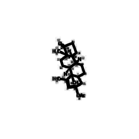 CC(=O)OC1=C=C(C)[C@@]2(C)C(CC[C@@H]3[C@@H]2CC[C@]2(C)C(=O)CC[C@@H]32)C1